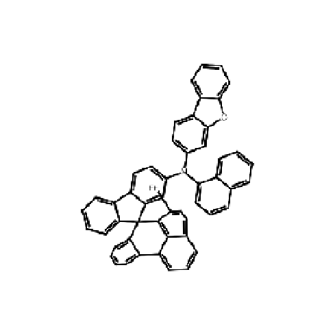 CCc1ccc2cccc3c2c1C1(c2ccccc2-c2ccc(N(c4ccc5c(c4)oc4ccccc45)c4cccc5ccccc45)cc21)c1ccccc1-3